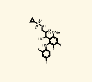 COc1cc(F)c(F)c(Nc2ccc(I)cc2F)c1C(O)C(O)CNS(=O)(=O)C1CC1